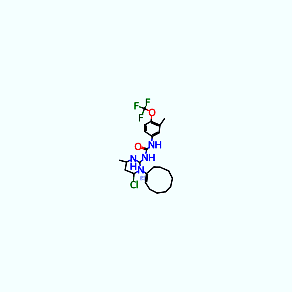 Cc1cc(NC(=O)NC2NC(C)CC(Cl)N2/C2=C/CCCCCCCC2)ccc1OC(F)(F)F